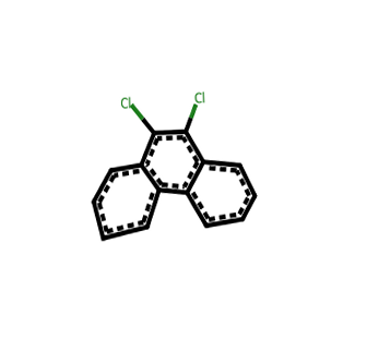 Clc1c(Cl)c2ccccc2c2ccccc12